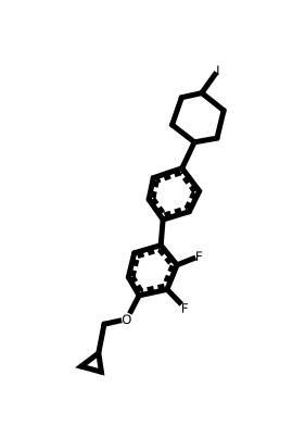 Fc1c(OCC2CC2)ccc(-c2ccc(C3CCC(I)CC3)cc2)c1F